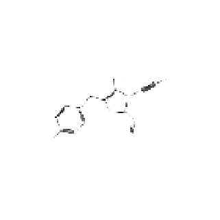 CC#CN1C(C)=C(Cc2ccc(C)cc2)OC1C=O